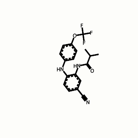 CC(C)C(=O)Nc1cc(C#N)ccc1Nc1ccc(OC(F)(F)F)cc1